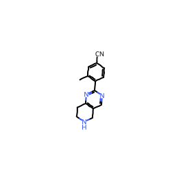 Cc1cc(C#N)ccc1-c1ncc2c(n1)CCNC2